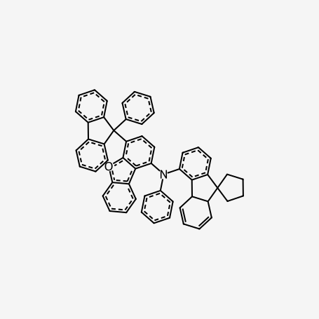 C1=CC2c3c(N(c4ccccc4)c4ccc(C5(c6ccccc6)c6ccccc6-c6ccccc65)c5oc6ccccc6c45)cccc3C3(CCCC3)C2C=C1